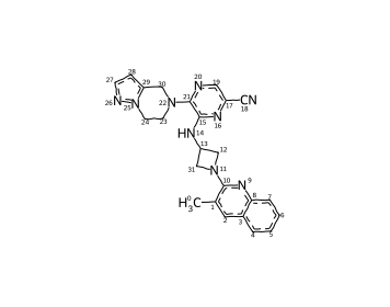 Cc1cc2ccccc2nc1N1CC(Nc2nc(C#N)cnc2N2CCn3nccc3C2)C1